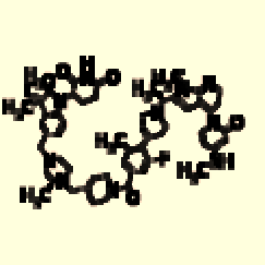 CNc1ccn(-c2ccnc3c2cc([C@H](C)N2CC=C(c4c(C)cc(C(=O)N5CCC(CN6CCN(Cc7ccc8c(c7)C(C)(C)C(=O)N8C7CCC(=O)NC7=O)C[C@@H]6C)CC5)cc4F)CC2)n3C)c(=O)c1